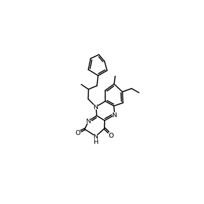 CCc1cc2nc3c(=O)[nH]c(=O)nc-3n(CC(C)Cc3ccccc3)c2cc1C